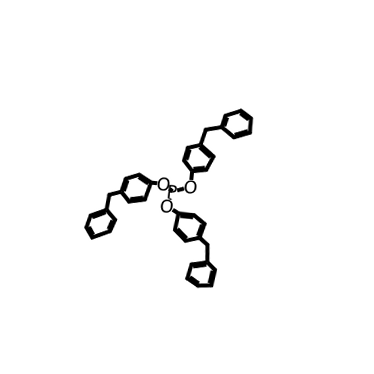 c1ccc(Cc2ccc(OP(Oc3ccc(Cc4ccccc4)cc3)Oc3ccc(Cc4ccccc4)cc3)cc2)cc1